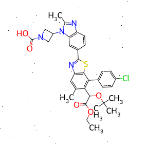 CCOC(=O)C(OC(C)(C)C)c1c(C)cc2nc(-c3ccc4nc(C)n(C5CN(C(=O)O)C5)c4c3)sc2c1-c1ccc(Cl)cc1